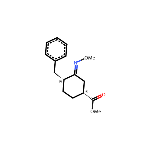 CON=C1C[C@H](C(=O)OC)CC[C@@H]1Cc1ccccc1